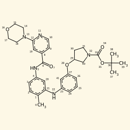 Cc1ccc(NC(=O)c2ccnc(N3CCOCC3)c2)cc1Nc1cccc(OC2CCN(C(=O)OC(C)(C)C)C2)c1